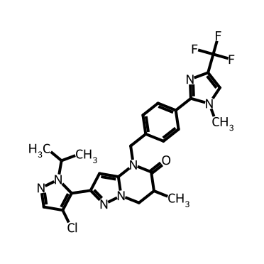 CC1Cn2nc(-c3c(Cl)cnn3C(C)C)cc2N(Cc2ccc(-c3nc(C(F)(F)F)cn3C)cc2)C1=O